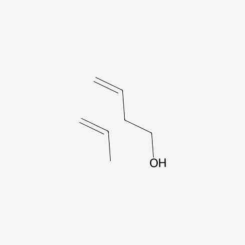 C=CC.C=CCCO